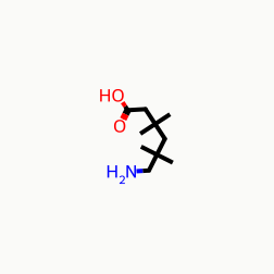 CC(C)(CN)CC(C)(C)CC(=O)O